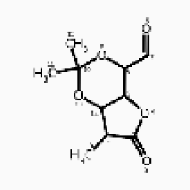 CC1C(=O)OC2C(C=O)OC(C)(C)OC12